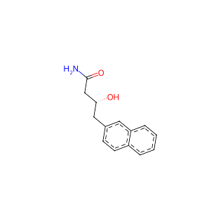 NC(=O)C[C@H](O)Cc1ccc2ccccc2c1